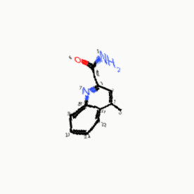 Cc1cc(C(N)=O)nc2ccccc12